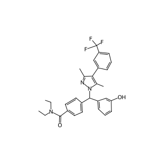 CCN(CC)C(=O)c1ccc(C(c2cccc(O)c2)n2nc(C)c(-c3cccc(C(F)(F)F)c3)c2C)cc1